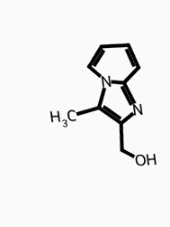 Cc1c(CO)nc2ccccn12